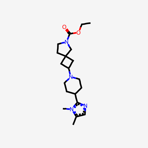 CCOC(=O)N1CCC2(CC(N3CCC(c4ncc(C)n4C)CC3)C2)C1